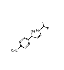 N=C(/C=C\NC(F)F)c1ccc(C=O)cc1